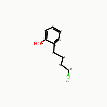 Oc1ccccc1CCCCCl